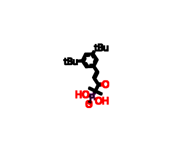 CC(C)(C)c1cc(/C=C/C(=O)C(C)(C)P(=O)(O)O)cc(C(C)(C)C)c1